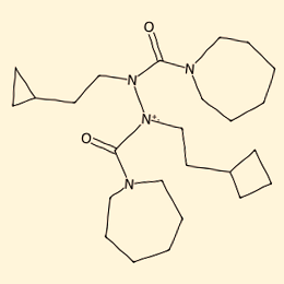 O=C(N1CCCCCC1)N(CCC1CC1)[N+](CCC1CCC1)C(=O)N1CCCCCC1